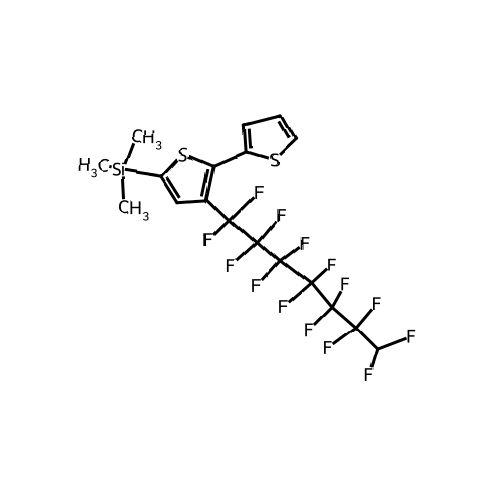 C[Si](C)(C)c1cc(C(F)(F)C(F)(F)C(F)(F)C(F)(F)C(F)(F)C(F)(F)C(F)F)c(-c2cccs2)s1